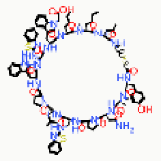 CCCC[C@H]1C(=O)N(C)[C@@H](CCCC)C(=O)N[C@@H](CC(C)C)C(=O)NCCSCC(=O)N[C@@H](Cc2ccc(O)cc2)C(=O)N(C)[C@@H](C)C(=O)N[C@@H](CC(N)=O)C(=O)N2CCCC2C(=O)N[C@@H](CNc2nc3ccccc3s2)C(=O)N[C@@H](CC(C)C)C(=O)N2CCCC2C(=O)N[C@@H](Cc2c[nH]c3ccccc23)C(=O)NC(Nc2nc3ccccc3s2)C(=O)N[C@@H](Cc2cn(CC(=O)O)c3ccccc23)C(=O)N1C